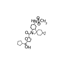 CS(=O)(=O)Nc1ccc2c(c1)C1(CCC3(CC3)CC1)CN2C(=O)c1ccc([C@@H](O)C2CCCC2)o1